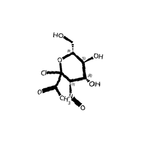 CC(=O)C1(Cl)O[C@H](CO)[C@@H](O)[C@H](O)[C@H]1N=O